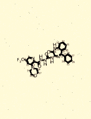 O=C(NNC(=O)c1ncc(C(F)(F)F)cc1N1CCOCC1)N[C@H]1N=C(c2ccccc2)c2ccccc2NC1=O